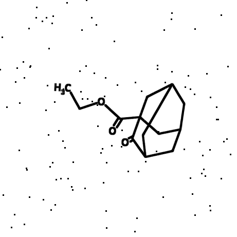 CCOC(=O)C12CC3CC(CC(C3)C1=O)C2